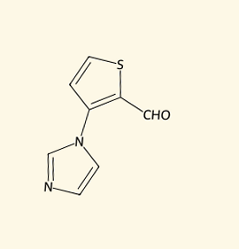 O=Cc1sccc1-n1ccnc1